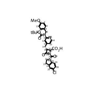 COc1ccc(CN(C(=O)OC(C)(C)C)c2cc(C[C@H]3C(=O)N(C(=O)N4CCc5cc(Cl)ccc54)[C@@H]3C(=O)O)ccn2)cc1